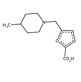 CC1CCN(Cc2ccc(C(=O)O)o2)CC1